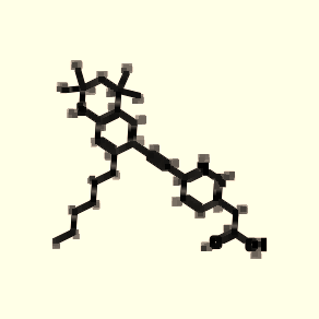 CCCCCCc1cc2c(cc1C#Cc1ccc(CC(=O)O)nn1)C(C)(C)CC(C)(C)S2